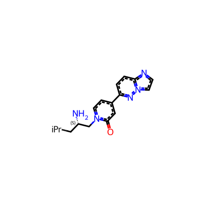 CC(C)C[C@H](N)Cn1ccc(-c2ccc3nccn3n2)cc1=O